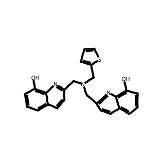 Oc1cccc2ccc(CN(Cc3ccc4cccc(O)c4n3)Cc3cccs3)nc12